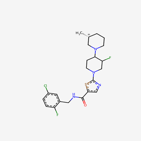 C[C@@H]1CCCN(C2CCN(c3ncc(C(=O)NCc4cc(Cl)ccc4F)s3)CC2F)C1